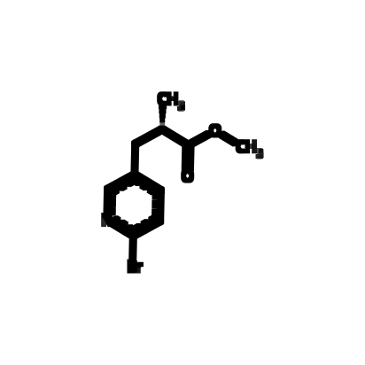 COC(=O)[C@@H](C)Cc1ccc(Br)nc1